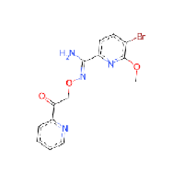 COc1nc(/C(N)=N/OCC(=O)c2ccccn2)ccc1Br